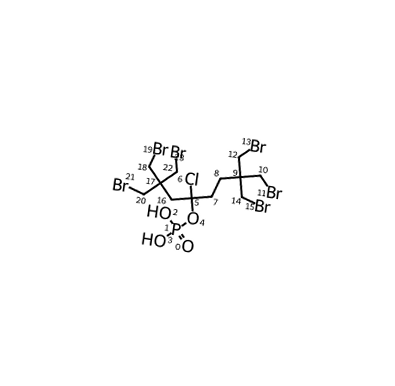 O=P(O)(O)OC(Cl)(CCC(CBr)(CBr)CBr)CC(CBr)(CBr)CBr